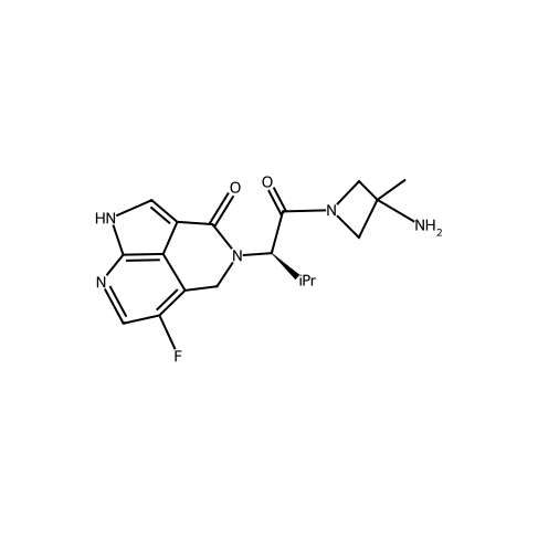 CC(C)[C@H](C(=O)N1CC(C)(N)C1)N1Cc2c(F)cnc3[nH]cc(c23)C1=O